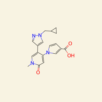 Cn1cc(-c2cnn(CC3CC3)c2)c(-n2ccc(C(=O)O)c2)cc1=O